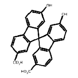 O=C(O)c1ccc2c(c1)C1(c3cc(O)ccc3-2)c2cc(O)ccc2-c2ccc(C(=O)O)cc21